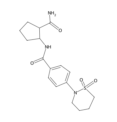 NC(=O)C1CCCC1NC(=O)c1ccc(N2CCCCS2(=O)=O)cc1